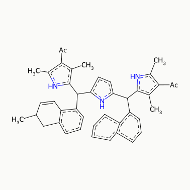 CC(=O)c1c(C)[nH]c(C(c2ccc(C(c3[nH]c(C)c(C(C)=O)c3C)c3cccc4ccccc34)[nH]2)c2cccc3c2C=CC(C)C3)c1C